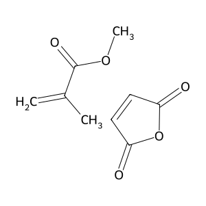 C=C(C)C(=O)OC.O=C1C=CC(=O)O1